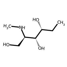 CC[C@@H](O)[C@H](O)[C@@H](CO)NC